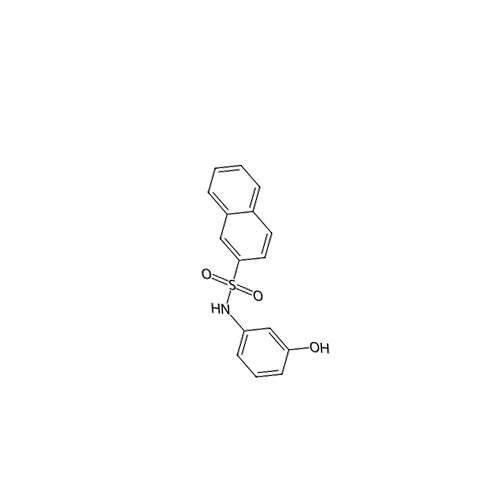 O=S(=O)(Nc1cccc(O)c1)c1ccc2ccccc2c1